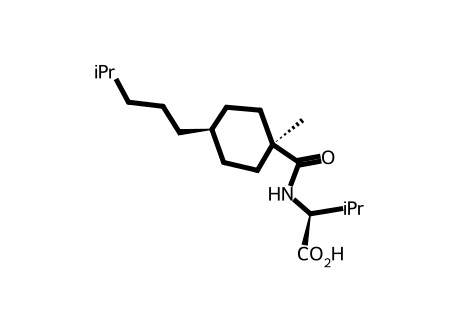 CC(C)CCC[C@H]1CC[C@@](C)(C(=O)N[C@H](C(=O)O)C(C)C)CC1